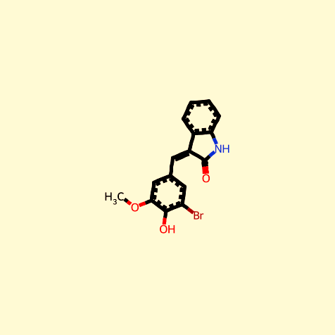 COc1cc(/C=C2\C(=O)Nc3ccccc32)cc(Br)c1O